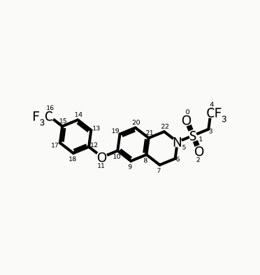 O=S(=O)(CC(F)(F)F)N1CCc2cc(Oc3ccc(C(F)(F)F)cc3)ccc2C1